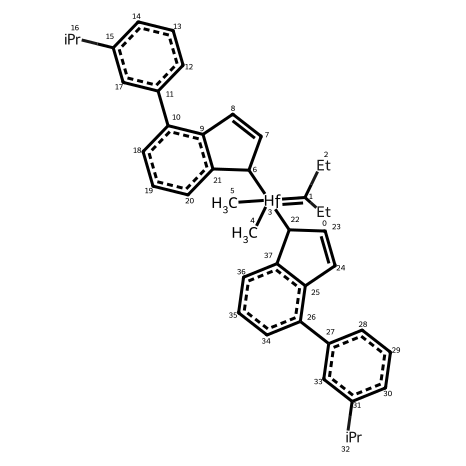 CC[C](CC)=[Hf]([CH3])([CH3])([CH]1C=Cc2c(-c3cccc(C(C)C)c3)cccc21)[CH]1C=Cc2c(-c3cccc(C(C)C)c3)cccc21